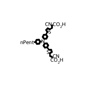 [C-]#[N+]/C(=C\c1ccc(-c2ccc(N(c3ccc(CCCCC)cc3)c3ccc(-c4ccc(/C=C(\C#N)C(=O)O)s4)cc3)cc2)s1)C(=O)O